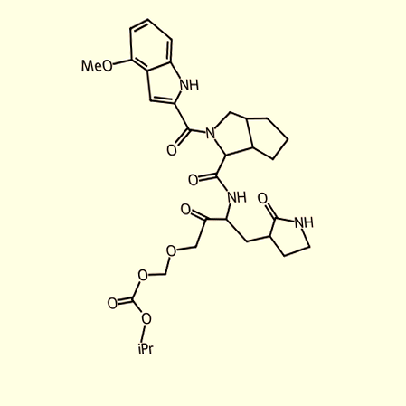 COc1cccc2[nH]c(C(=O)N3CC4CCCC4C3C(=O)NC(CC3CCNC3=O)C(=O)COCOC(=O)OC(C)C)cc12